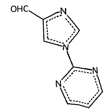 O=Cc1cn(-c2ncccn2)cn1